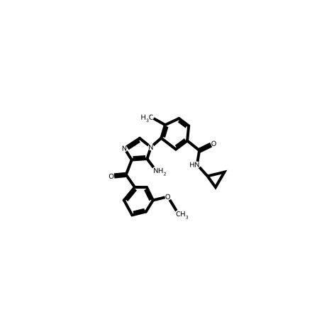 COc1cccc(C(=O)c2ncn(-c3cc(C(=O)NC4CC4)ccc3C)c2N)c1